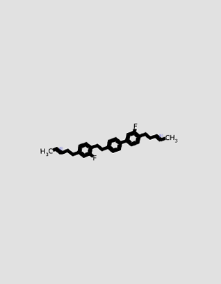 C/C=C/CCc1ccc(CCc2ccc(-c3ccc(CC/C=C/C)c(F)c3)cc2)c(F)c1